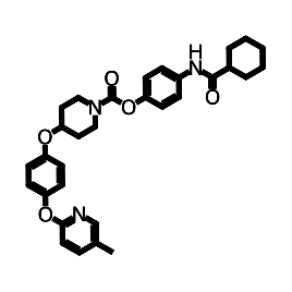 Cc1ccc(Oc2ccc(OC3CCN(C(=O)Oc4ccc(NC(=O)C5CCCCC5)cc4)CC3)cc2)nc1